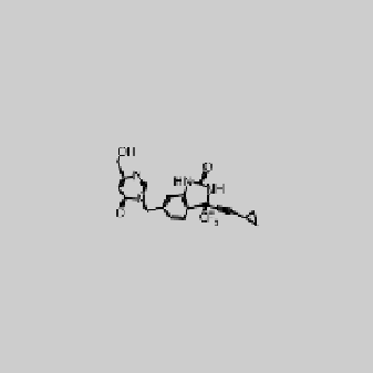 O=C1Nc2cc(Cn3cnc(CO)cc3=O)ccc2C(C#CC2CC2)(C(F)(F)F)N1